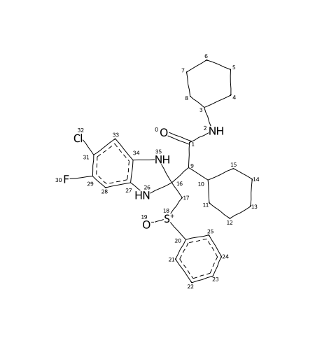 O=C(NC1CCCCC1)C(C1CCCCC1)C1(C[S+]([O-])c2ccccc2)Nc2cc(F)c(Cl)cc2N1